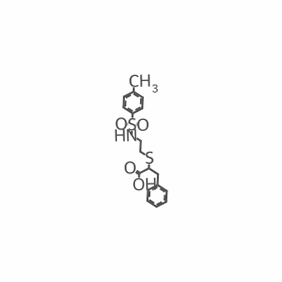 Cc1ccc(S(=O)(=O)NCCSC(Cc2ccccc2)C(=O)O)cc1